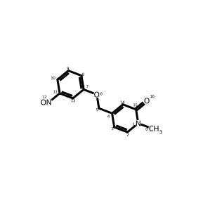 Cn1ccc(COc2cccc(N=O)c2)cc1=O